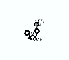 CON(Cc1ccc(-c2noc(C(F)(F)F)n2)cc1)C(=O)C1(c2ccccc2)CC1